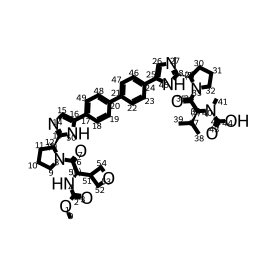 COC(=O)N[C@@H](C(=O)N1CCC[C@H]1c1ncc(-c2ccc(-c3ccc(-c4cnc([C@@H]5CCCN5C(=O)[C@H](C(C)C)N(C)C(=O)O)[nH]4)cc3)cc2)[nH]1)C1COC1